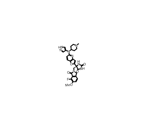 COc1ccc2c(c1F)C(=O)N(C[C@@]1(c3cc4nc(N(c5cn[nH]c5)C5CCN(C)CC5)ccc4o3)NC(=O)NC1=O)C2